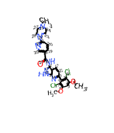 COc1cc(OC)c(Cl)c(-c2ccc3c(NC(=O)c4ccc(N5CCN(C)CC5)nc4)n[nH]c3n2)c1Cl